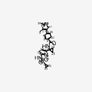 Cc1c(-c2ccc(C(=O)NC3(c4csc(NS(=O)(=O)C5CC5)n4)CC3)cc2)cnn1C